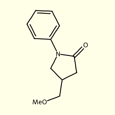 COCC1CC(=O)N(c2ccccc2)C1